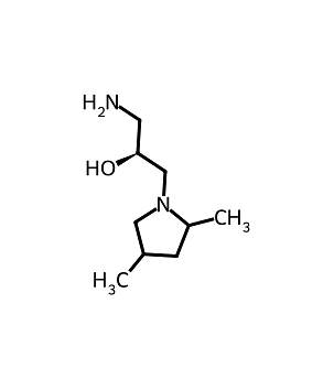 CC1CC(C)N(C[C@@H](O)CN)C1